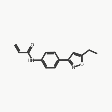 C=CC(=O)Nc1ccc(-c2cc(CC)on2)cc1